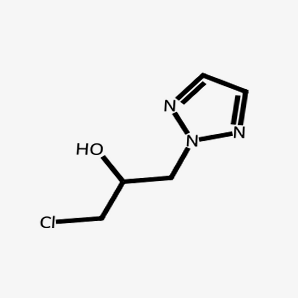 OC(CCl)Cn1nccn1